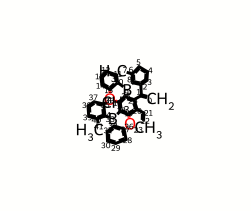 C=C1c2cccc(C)c2B2c3ccccc3Oc3c4c(c(/C=C\C)c1c32)Oc1ccccc1B4c1c(C)cccc1C